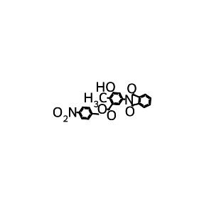 Cc1c(O)cc(N2C(=O)c3ccccc3C2=O)cc1C(=O)OCc1ccc([N+](=O)[O-])cc1